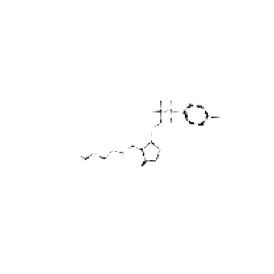 CCOC(=O)CCCCCCC1C(=O)CCC1SCC(C)(O)C(C)(C)c1ccc(C)cc1